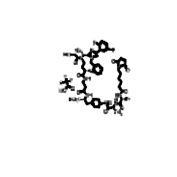 CC(C)[C@H](NC(=O)CCCCCN1C(=O)C=CC1=O)C(=O)N[C@@H](C)C(=O)Nc1ccc(C[C@H](NC(=O)CCNC(=O)[C@@H](N)CCN(C(=O)CO)[C@@H](c2nc(-c3cc(F)ccc3F)cn2Cc2ccccc2)C(C)(C)C)C(=O)O)cc1.O=C(O)C(F)(F)F